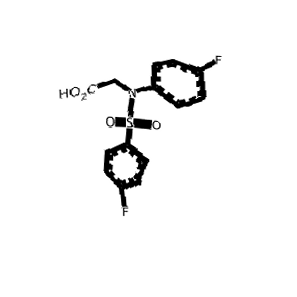 O=C(O)CN(c1ccc(F)cc1)S(=O)(=O)c1ccc(F)cc1